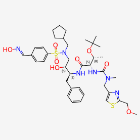 COCc1nc(CN(C)C(=O)N[C@H](C(=O)N[C@@H](Cc2ccccc2)[C@@H](O)CN(CC2CCCC2)S(=O)(=O)c2ccc(C=NO)cc2)[C@@H](C)OC(C)(C)C)cs1